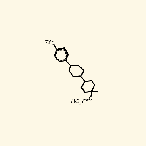 CCCc1ccc(C2CCC(C3CCC(C)(OC(=O)O)CC3)CC2)cc1